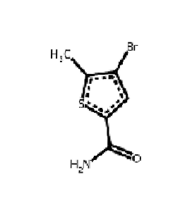 Cc1sc(C(N)=O)cc1Br